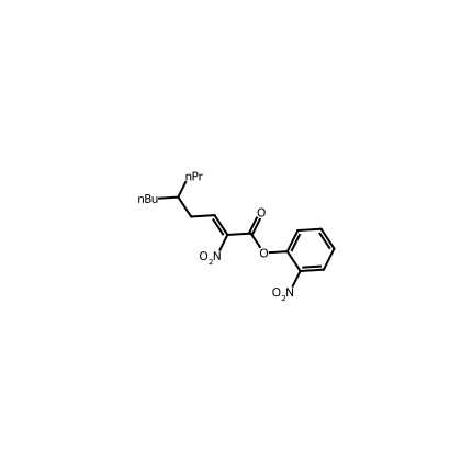 CCCCC(C/C=C(/C(=O)Oc1ccccc1[N+](=O)[O-])[N+](=O)[O-])CCC